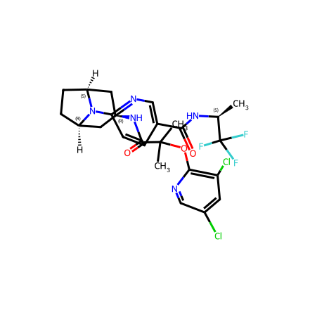 C[C@H](NC(=O)c1ccc(N2[C@@H]3CC[C@H]2C[C@@H](NC(=O)C(C)(C)Oc2ncc(Cl)cc2Cl)C3)nc1)C(F)(F)F